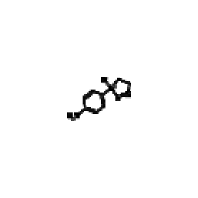 O=[N+]([O-])c1ccc([N+]2([O-])CCN=N2)cc1